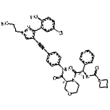 N#CCCn1cc(C#Cc2ccc(NC(=O)[C@@H]3COCCN3C(=O)[C@H](NC(=O)N3CCC3)c3ccccc3)cc2)c(-c2cc(Cl)ccc2O)n1